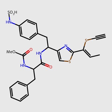 C#CS/C(=C\C)c1nc(C(Cc2ccc(NS(=O)(=O)O)cc2)NC(=O)C(Cc2ccccc2)NC(=O)OC)cs1